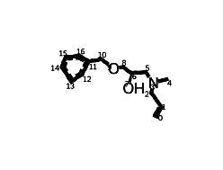 C=CCN(C)C[C@@H](O)COCc1ccccc1